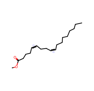 CCCCCCCC/C=C\CC/C=C\CCCC(=O)OC